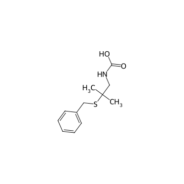 CC(C)(CNC(=O)O)SCc1ccccc1